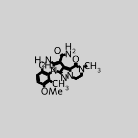 COc1ccc(C)c(-n2c(N)c(C(N)=O)c3c4n(nc32)CCN(C)C4=O)c1C